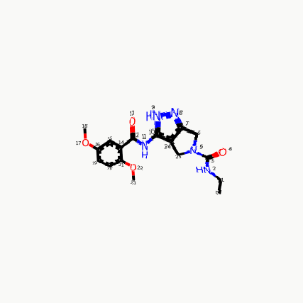 CCNC(=O)N1Cc2n[nH]c(NC(=O)c3cc(OC)ccc3OC)c2C1